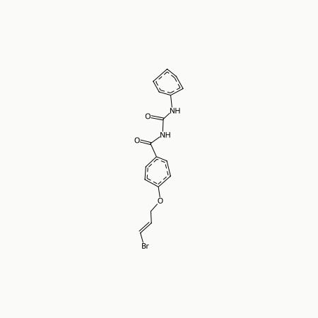 O=C(NC(=O)c1ccc(OCC=CBr)cc1)Nc1ccccc1